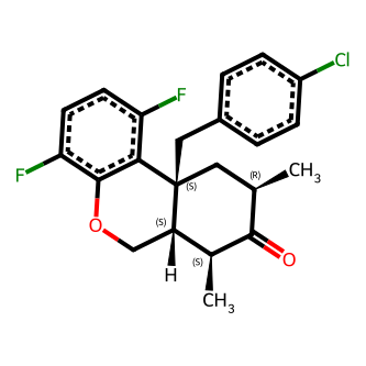 C[C@@H]1C[C@@]2(Cc3ccc(Cl)cc3)c3c(F)ccc(F)c3OC[C@H]2[C@H](C)C1=O